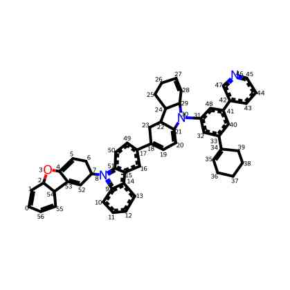 C1=CC2OC3=CCC(n4c5ccccc5c5cc(C6=CC=C7C(C6)C6CCC=CC6N7c6cc(C7=CCCCC7)cc(-c7cccnc7)c6)ccc54)C=C3C2C=C1